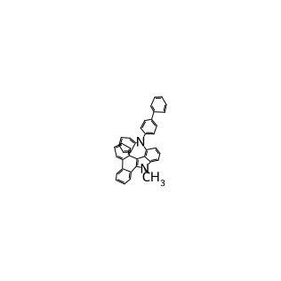 Cn1c2cccc(N(c3ccccc3)c3ccc(-c4ccccc4)cc3)c2c2c3ccccc3c3ccccc3c21